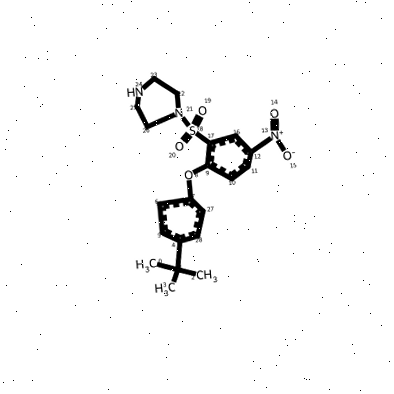 CC(C)(C)c1ccc(Oc2ccc([N+](=O)[O-])cc2S(=O)(=O)N2CCNCC2)cc1